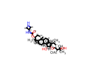 CC(=O)O[C@@H]([C@H]1C[C@@H](C)[C@H]2[C@H](O1)[C@H](O)[C@@]1(C)[C@@H]3CC[C@H]4C(C)(C)[C@@H](OC(=O)NC5CNC5)CC[C@@]45C[C@@]35CC[C@]21C)C(C)(C)O